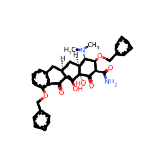 CN(C)[C@@H]1C(OCc2ccccc2)C(C(N)=O)C(=O)[C@@]2(O)C(O)=C3C(=O)c4c(cccc4OCc4ccccc4)C[C@H]3C[C@@H]12